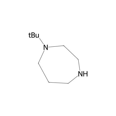 CC(C)(C)N1CCCNCC1